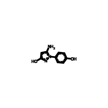 Nc1cc(O)nn1-c1ccc(O)cc1